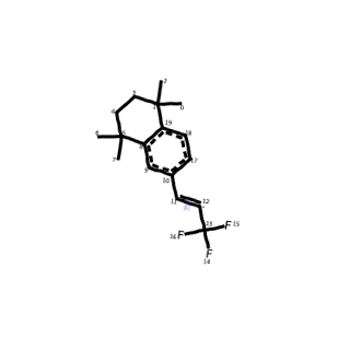 CC1(C)CCC(C)(C)c2cc(/C=[C]/C(F)(F)F)ccc21